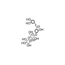 O=C(/C=C/c1ccc(O)c(O)c1)c1ccc(O[C@H]2O[C@H](CO)[C@H](O[C@@H]3OC[C@@H](O)[C@@H](O)[C@@H]3O)[C@H](O)[C@H]2O)cc1O